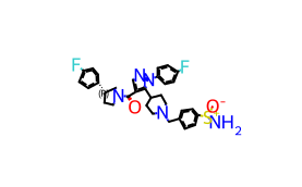 N[S+]([O-])c1ccc(CN2CCC(c3c(C(=O)N4CC[C@H](c5ccc(F)cc5)C4)cnn3-c3ccc(F)cc3)CC2)cc1